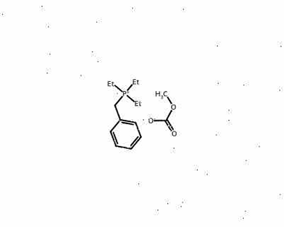 CC[P+](CC)(CC)Cc1ccccc1.COC(=O)[O-]